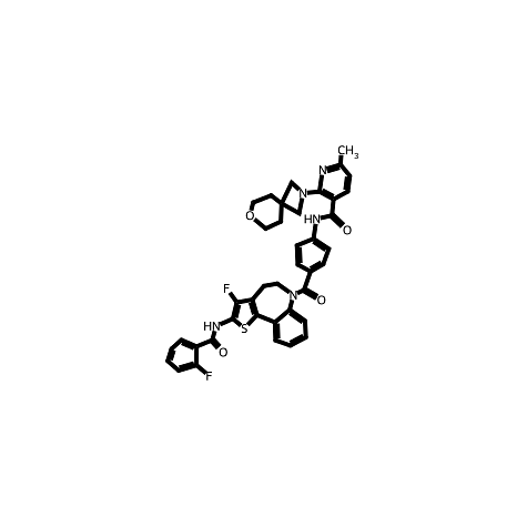 Cc1ccc(C(=O)Nc2ccc(C(=O)N3CCc4c(sc(NC(=O)c5ccccc5F)c4F)-c4ccccc43)cc2)c(N2CC3(CCOCC3)C2)n1